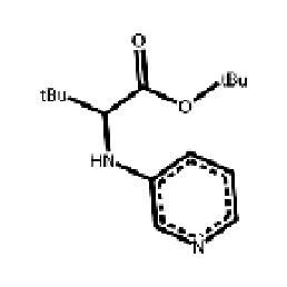 CC(C)(C)OC(=O)C(Nc1cccnc1)C(C)(C)C